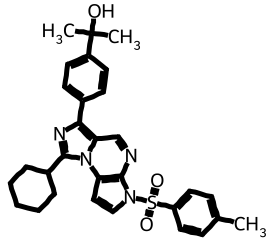 Cc1ccc(S(=O)(=O)n2ccc3c2ncc2c(-c4ccc(C(C)(C)O)cc4)nc(C4CCCCC4)n23)cc1